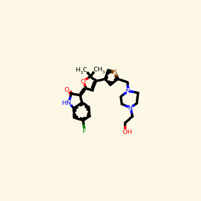 CC1(C)OC(=C2C(=O)Nc3cc(F)ccc32)C=C1c1csc(CN2CCN(CCO)CC2)c1